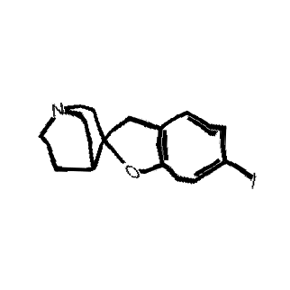 Ic1ccc2c(c1)OC1(C2)CN2CCC1CC2